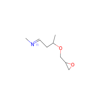 C/N=C/CC(C)OCC1CO1